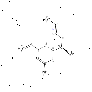 C=CCO[C@@H](CC(N)=O)[C@H](C)C/C=C/C